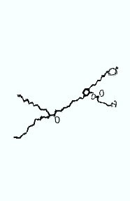 CCCCCCCCCCC(CCCCCCCCCC)C(=O)CCCCCCCCc1ccc(CCCCCCCOC)c(COC(=O)CCCN(C)C)c1